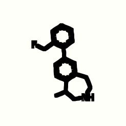 CC1CNCCc2cc(-c3ccccc3CF)ccc21